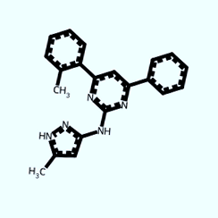 Cc1cc(Nc2nc(-c3ccccc3)cc(-c3ccccc3C)n2)n[nH]1